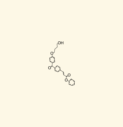 O=C(C=Cc1ccc(C(=O)c2ccc(OCCCCO)cc2)cc1)Oc1ccccc1